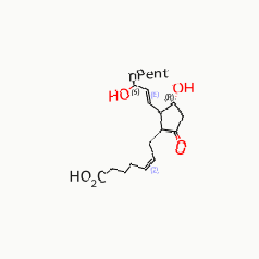 CCCCC[C@H](O)/C=C/C1C(C/C=C\CCCC(=O)O)C(=O)C[C@H]1O